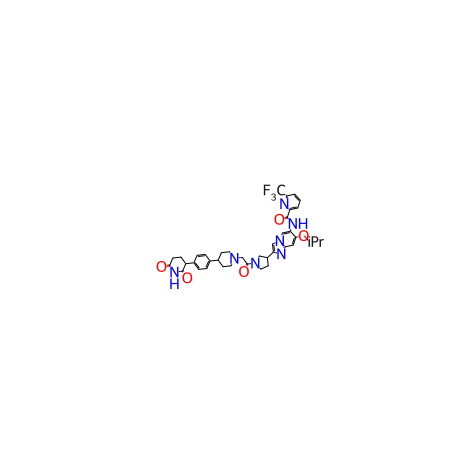 CC(C)Oc1cc2nc(C3CCN(C(=O)CN4CCC(c5ccc(C6CCC(=O)NC6=O)cc5)CC4)C3)cn2cc1NC(=O)c1cccc(C(F)(F)F)n1